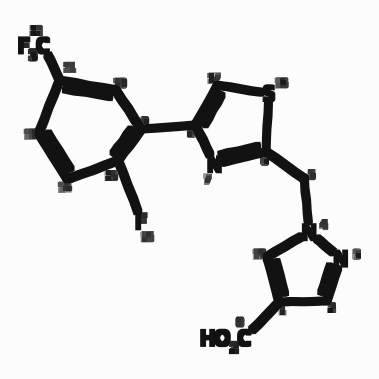 O=C(O)c1cnn(Cc2nc(-c3cc(C(F)(F)F)ccc3F)cs2)c1